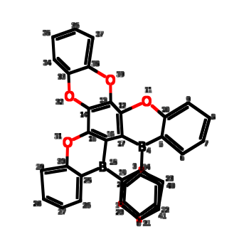 c1ccc(B2c3ccccc3Oc3c4c(c5c(c32)B(c2ccccc2)c2ccccc2O5)Oc2ccccc2O4)cc1